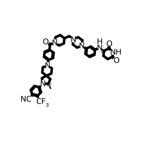 C[C@@H]1CC2(CCN(c3ccc(C(=O)N4CCC(CN5CCN(c6cccc(N[C@@H]7CCC(=O)NC7=O)c6)CC5)CC4)cc3)CC2)CN1c1ccc(C#N)c(C(F)(F)F)c1